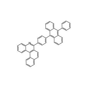 c1ccc(-c2c3ccccc3c(-c3ccc(-c4nc5ccccc5c5c4ccc4ccccc45)cc3)c3ccccc23)cc1